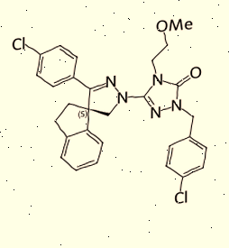 COCCn1c(N2C[C@@]3(CCc4ccccc43)C(c3ccc(Cl)cc3)=N2)nn(Cc2ccc(Cl)cc2)c1=O